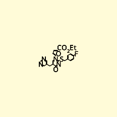 CCOC(=O)c1ccc(-n2cc(Cc3cncnc3)c(=O)nc2SCc2ccc(F)cc2)o1